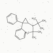 CC(C)(C)P(C1CC1(c1ccccc1)c1ccccc1)C(C)(C)C